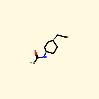 CC(C)(C)C[C@H]1CC[C@@H](NC(=O)C(C)(C)C)CC1